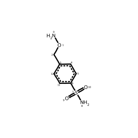 NOCc1ccc(S(N)(=O)=O)cc1